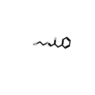 O=C(/C=N/CCO)Cc1ccccc1